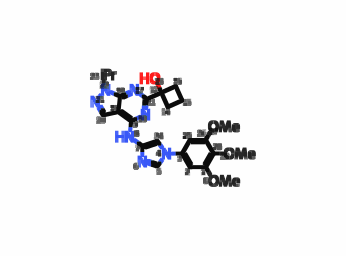 COc1cc(-n2cnc(Nc3nc(C4(O)CCC4)nc4c3cnn4C(C)C)c2)cc(OC)c1OC